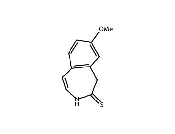 COc1ccc2c(c1)CC(=S)NC=C2